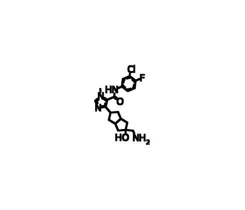 Cn1cnc(C2CC3CC(O)(CN)CC3C2)c1C(=O)Nc1ccc(F)c(Cl)c1